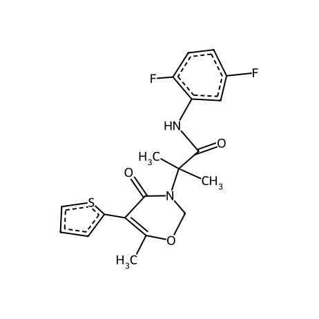 CC1=C(c2cccs2)C(=O)N(C(C)(C)C(=O)Nc2cc(F)ccc2F)CO1